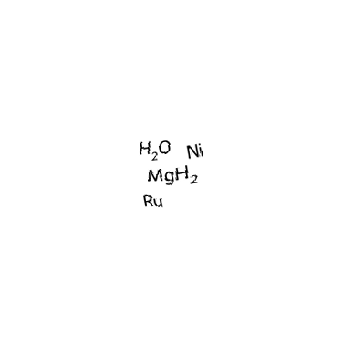 O.[MgH2].[Ni].[Ru]